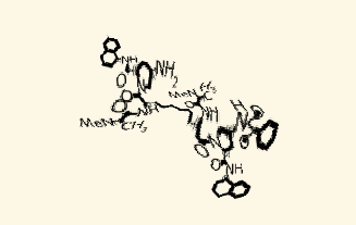 CN[C@@H](C)C(=O)N[C@@H](CCCCCC[C@H](NC(=O)[C@H](C)NC)C(=O)N1C[C@@H](NS(=O)(=O)c2ccccc2)C[C@H]1C(=O)N[C@@H]1CCCc2ccccc21)C(=O)N1C[C@@H](N)C[C@H]1C(=O)N[C@@H]1CCCc2ccccc21